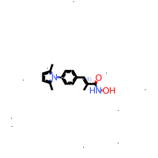 C/C(=C\c1ccc(-n2c(C)ccc2C)cc1)C(=O)NO